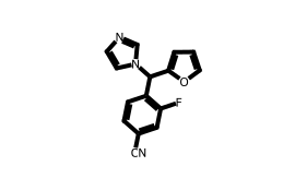 N#Cc1ccc(C(c2ccco2)n2ccnc2)c(F)c1